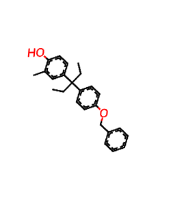 CCC(CC)(c1ccc(OCc2ccccc2)cc1)c1ccc(O)c(C)c1